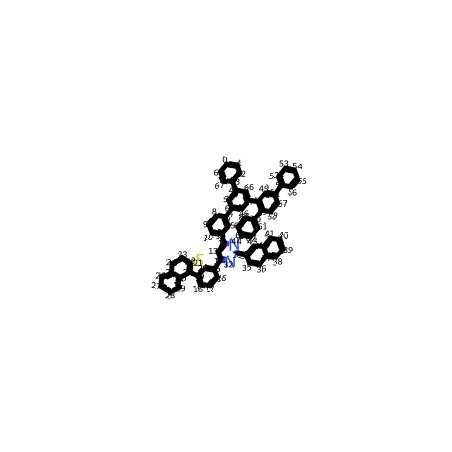 c1ccc(-c2cc(-c3cccc(-c4cc(-c5cccc6c5sc5ccc7ccccc7c56)nc(-c5ccc6ccccc6c5)n4)c3)cc(-c3cc(-c4ccccc4)ccc3-c3ccccc3)c2)cc1